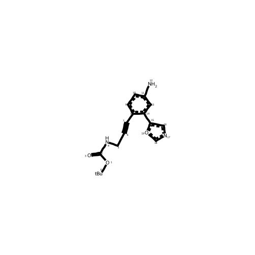 CC(C)(C)OC(=O)NCC#Cc1ccc(N)cc1-c1cnco1